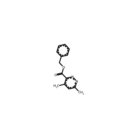 Cc1cc(C)c(C(=O)OCc2ccccc2)nn1